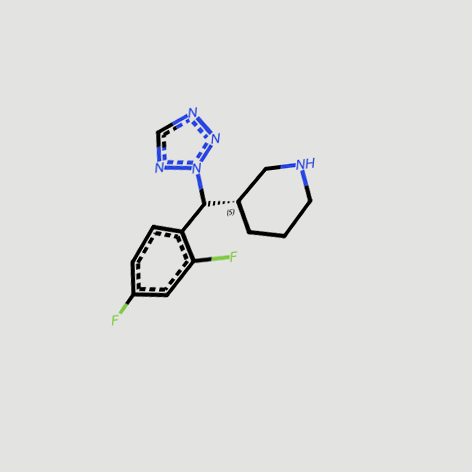 Fc1ccc(C([C@H]2CCCNC2)n2ncnn2)c(F)c1